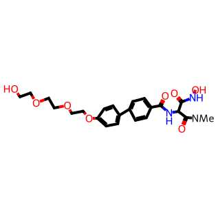 CNC(=O)C(NC(=O)c1ccc(-c2ccc(OCCOCCOCCO)cc2)cc1)C(=O)NO